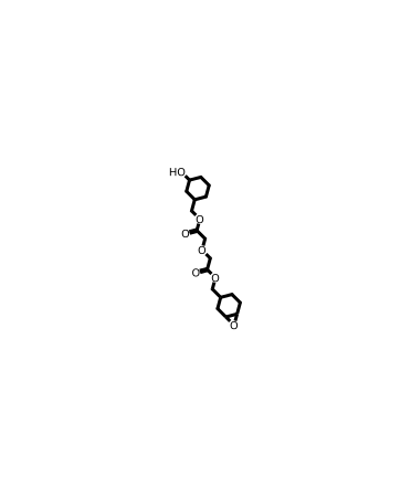 O=C(COCC(=O)OCC1CCC2OC2C1)OCC1CCCC(O)C1